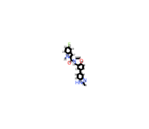 Cc1nc2cc(-c3ccc4c(c3)CN(C(=O)c3cc5cc(F)ccc5n3C)CCO4)ccc2[nH]1